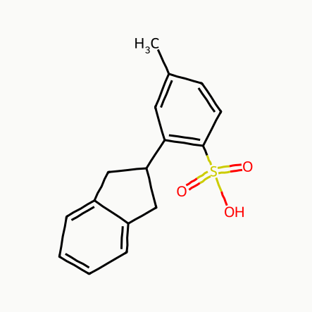 Cc1ccc(S(=O)(=O)O)c(C2Cc3ccccc3C2)c1